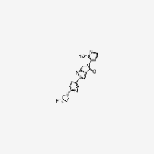 O=C1c2cn(-c3ccc(N4CC[C@H](F)C4)nc3)nc2CN1c1cccnc1O